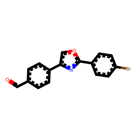 O=Cc1ccc(-c2coc(-c3ccc(Br)cc3)n2)cc1